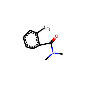 CN(C)C(=O)c1ccccc1C(F)(F)F